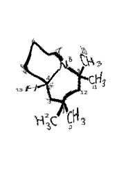 CC1(C)C[C@@H]2CCCN2C(C)(C)C1